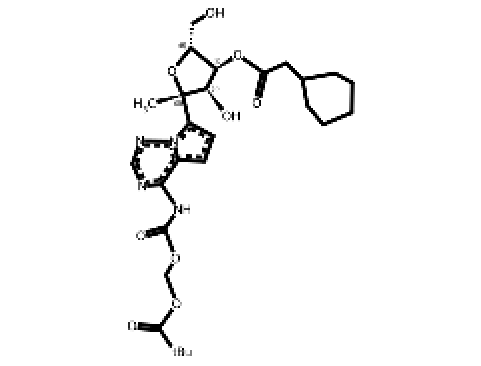 CC(C)(C)C(=O)OCOC(=O)Nc1ncnn2c([C@]3(C)O[C@H](CO)[C@@H](OC(=O)CC4CCCCC4)[C@H]3O)ccc12